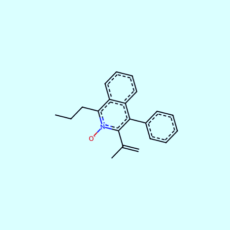 C=C(C)c1c(-c2ccccc2)c2ccccc2c(CCC)[n+]1[O-]